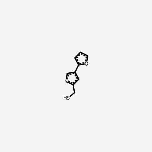 SCc1cc(-c2ccco2)cs1